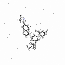 CC(=N)/N=C\Nc1ccc2c(-c3cc(NS(=O)(=O)C4CC4)cc(-c4ccc(F)cc4F)c3)cnn2c1